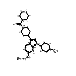 CCC[C@H](C)Nc1ncc2c(C3CCN(C(=O)C4CCOCC4)CC3)cn(C3CCC(O)CC3)c2n1